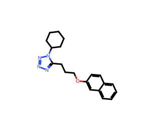 c1ccc2cc(OCCCc3nnnn3C3CCCCC3)ccc2c1